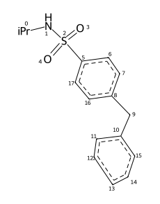 CC(C)NS(=O)(=O)c1ccc(Cc2c[c]ccc2)cc1